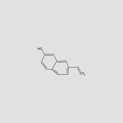 C=Cc1ccc2ccc(O)cc2c1